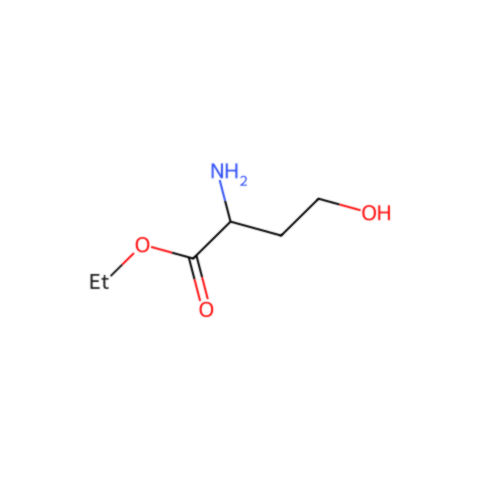 CCOC(=O)C(N)CCO